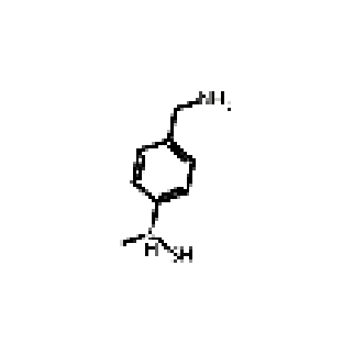 C[SH](S)c1ccc(CN)cc1